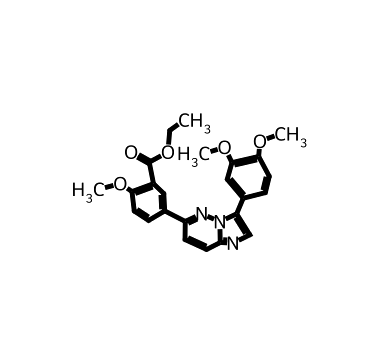 CCOC(=O)c1cc(-c2ccc3ncc(-c4ccc(OC)c(OC)c4)n3n2)ccc1OC